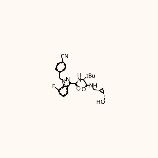 CC(C)(C)[C@H](NC(=O)c1nn(Cc2ccc(C#N)cc2)c2c(F)cccc12)C(=O)NC[C@H]1C[C@@H]1CO